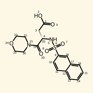 O=C(O)C[C@H](NS(=O)(=O)c1ccc2ccccc2c1)C(=O)N1CCOCC1